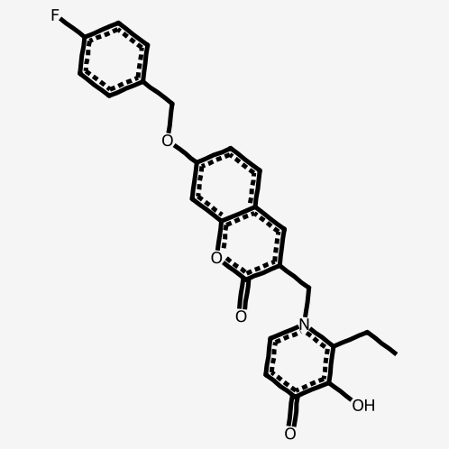 CCc1c(O)c(=O)ccn1Cc1cc2ccc(OCc3ccc(F)cc3)cc2oc1=O